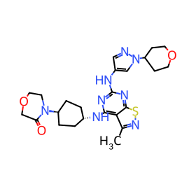 Cc1nsc2nc(Nc3cnn(C4CCOCC4)c3)nc(N[C@H]3CC[C@H](N4CCOCC4=O)CC3)c12